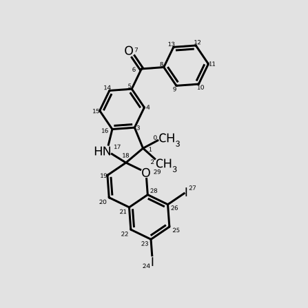 CC1(C)c2cc(C(=O)c3ccccc3)ccc2NC12C=Cc1cc(I)cc(I)c1O2